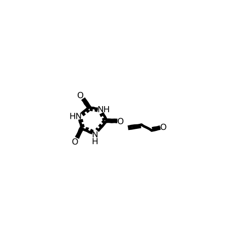 C=CC=O.O=c1[nH]c(=O)[nH]c(=O)[nH]1